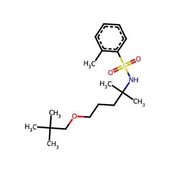 Cc1ccccc1S(=O)(=O)NC(C)(C)CCCOCC(C)(C)C